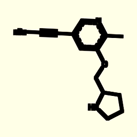 CCCCC#Cc1cnc(C)c(OCC2CCCN2)c1